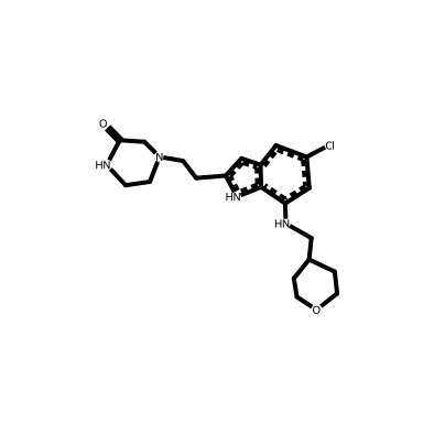 O=C1CN(CCc2cc3cc(Cl)cc(NCC4CCOCC4)c3[nH]2)CCN1